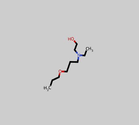 [CH2]CCOCCCN(CC)CCO